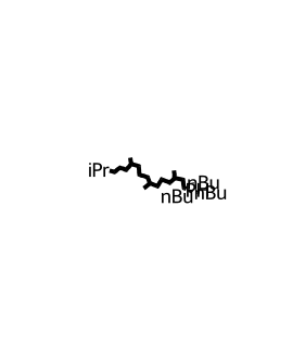 CCCC[PH](CCCC)(CCCC)CCC(C)CCCC(C)CCCC(C)CCCC(C)C